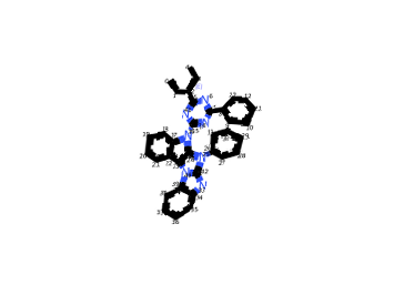 C=C/C(=C\C)c1nc(-c2ccccc2)nc(-n2c3ccccc3c3c2n(-c2ccccc2)c2nc4ccccc4n32)n1